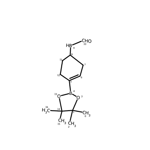 CC1(C)OB(C2=CCC(BC=O)CC2)OC1(C)C